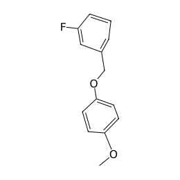 COc1ccc(OCc2cccc(F)c2)cc1